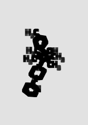 Cc1ccc(C2(O)C(C)(C)C(N3CCN(c4ccccn4)CC3)C2(C)C)cc1